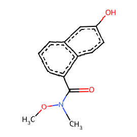 CON(C)C(=O)c1cccc2cc(O)ccc12